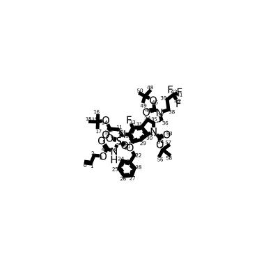 C=CCOC(=O)NS(=O)(=O)N(CC(=O)OC(C)(C)C)c1c(OCc2ccccc2)cc2c(c1F)C[C@H](CN(CCC(F)(F)F)C(=O)OC(C)(C)C)N2C(=O)OC(C)(C)C